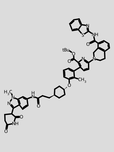 Cc1c(O[C@H]2CC[C@H](CCC(=O)Nc3ccc4c(C5CCC(=O)NC5=O)nn(C)c4c3)CC2)cccc1-c1ccc(N2CCc3cccc(C(=O)Nc4nc5ccccc5s4)c3C2)nc1C(=O)OC(C)(C)C